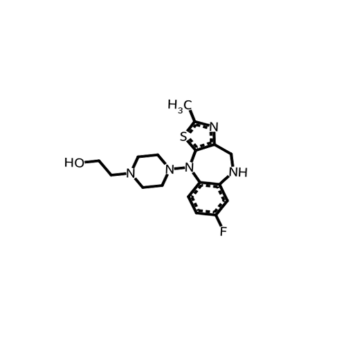 Cc1nc2c(s1)N(N1CCN(CCO)CC1)c1ccc(F)cc1NC2